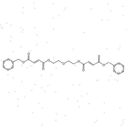 O=C(/C=C/C(=O)OCc1ccccc1)OCCOCCOC(=O)/C=C/C(=O)OCc1ccccc1